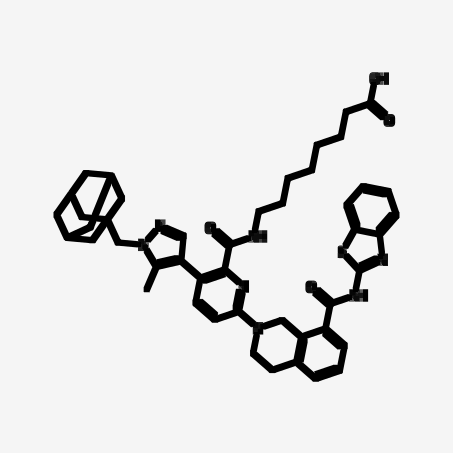 Cc1c(-c2ccc(N3CCc4cccc(C(=O)Nc5nc6ccccc6s5)c4C3)nc2C(=O)NCCCCCCCC(=O)O)cnn1CC12CC3CC(CC(C3)C1)C2